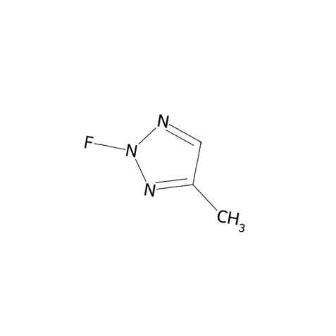 Cc1cnn(F)n1